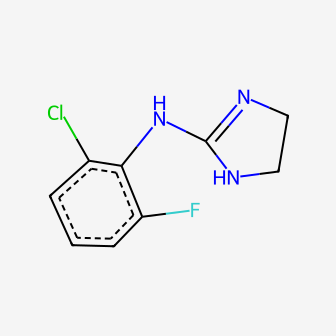 Fc1cccc(Cl)c1NC1=NCCN1